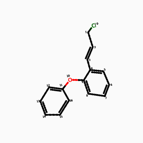 ClCC=Cc1ccccc1Oc1ccccc1